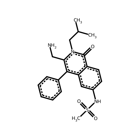 CC(C)Cn1c(CN)c(-c2ccccc2)c2cc(NS(C)(=O)=O)ccc2c1=O